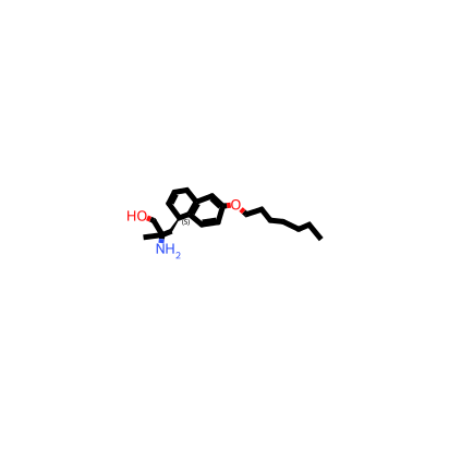 CCCCCCCOc1ccc2c(c1)CC=C[C@@H]2CC(C)(N)CO